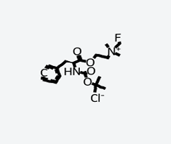 CC(C)(C)OC(=O)N[C@@H](Cc1ccccc1)C(=O)OCC[N+](C)(C)CF.[Cl-]